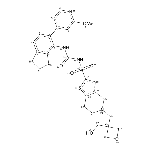 COc1cc(-c2ccc3c(c2NC(=O)NS(=O)(=O)c2cc4c(s2)CCN(CC2(CO)COC2)C4)CCC3)ccn1